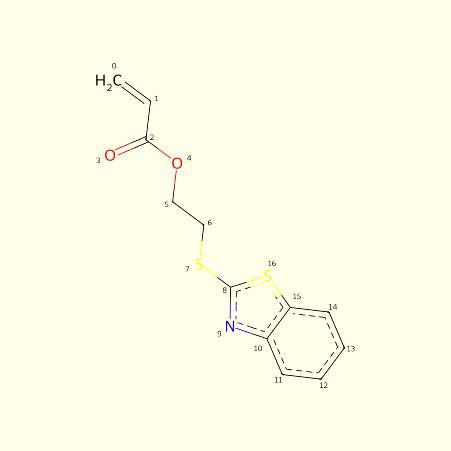 C=CC(=O)OCCSc1nc2ccccc2s1